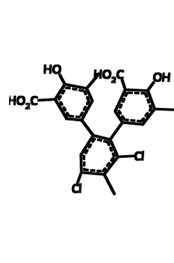 Cc1cc(-c2cc(Cl)c(C)c(Cl)c2-c2cc(C)c(O)c(C(=O)O)c2)cc(C(=O)O)c1O